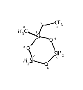 C[Si]1(CC(F)(F)F)O[SiH2]O[SiH2]O1